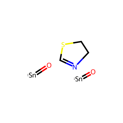 C1=NCCS1.[O]=[Sn].[O]=[Sn]